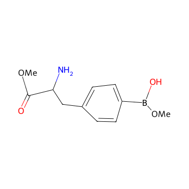 COB(O)c1ccc(CC(N)C(=O)OC)cc1